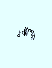 O=C(NCC(O)CN1CCc2ccccc2C1)c1ccc(OC2CCN(CC(F)(F)F)CC2)cc1